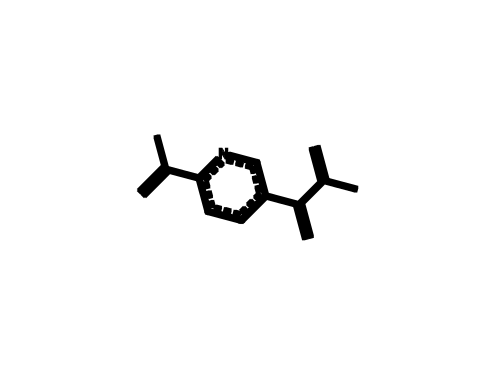 C=C(C)C(=C)c1ccc(C(=C)C)nc1